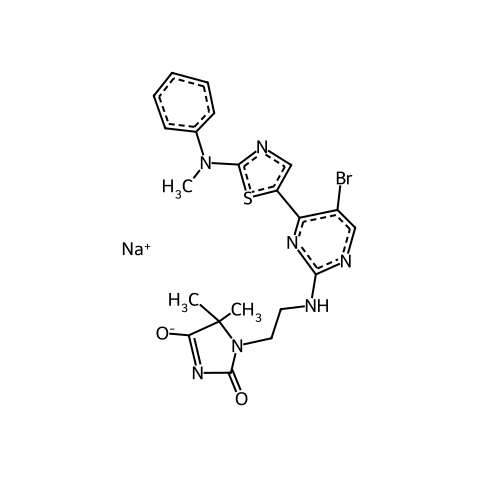 CN(c1ccccc1)c1ncc(-c2nc(NCCN3C(=O)N=C([O-])C3(C)C)ncc2Br)s1.[Na+]